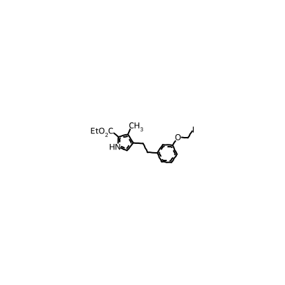 CCOC(=O)c1[nH]cc(CCc2cccc(OCI)c2)c1C